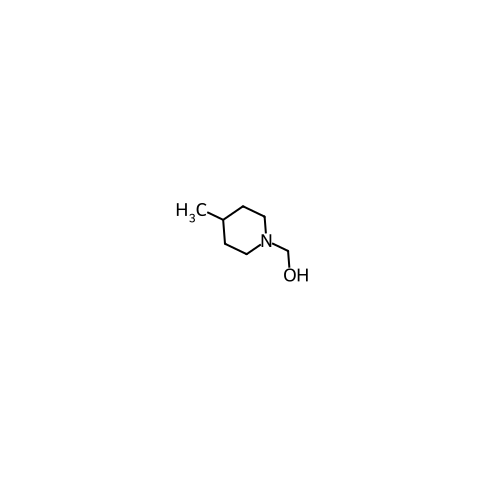 CC1CCN(CO)CC1